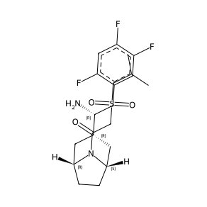 CC(C)CS(=O)(=O)CC(=O)N1[C@@H]2CC[C@H]1C[C@@H]([C@H](N)Cc1cc(F)c(F)cc1F)C2